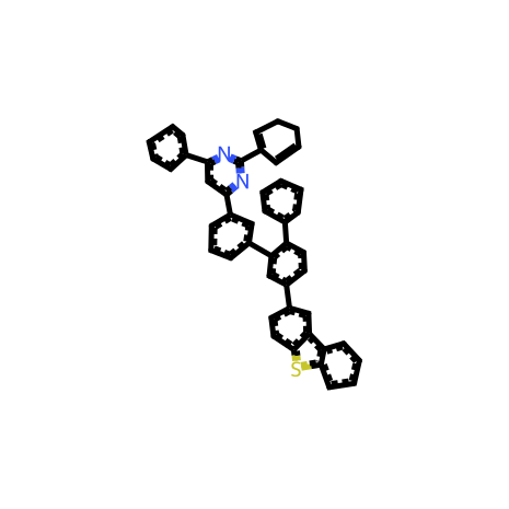 C1=CC(c2nc(-c3ccccc3)cc(-c3cccc(-c4cc(-c5ccc6sc7ccccc7c6c5)ccc4-c4ccccc4)c3)n2)=CCC1